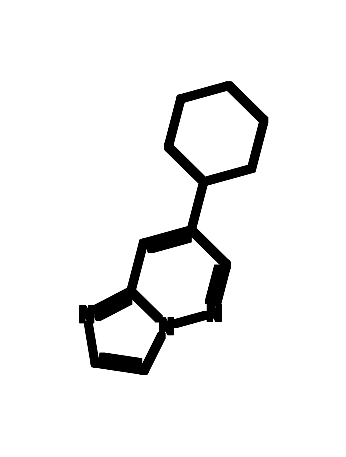 c1cn2ncc(C3CCCCC3)cc2n1